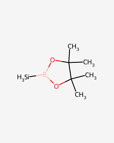 CC1(C)OB([SiH3])OC1(C)C